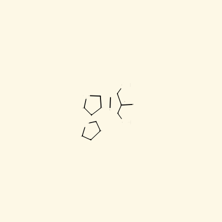 C1CCOC1.C1CCOC1.CC(C)=O.OCC(O)CO